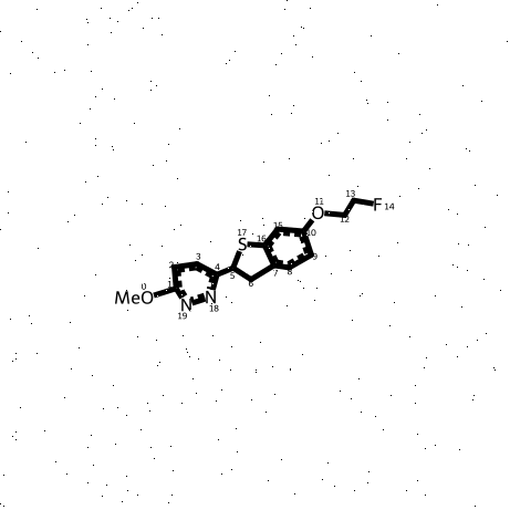 COc1ccc(C2Cc3ccc(OCCF)cc3S2)nn1